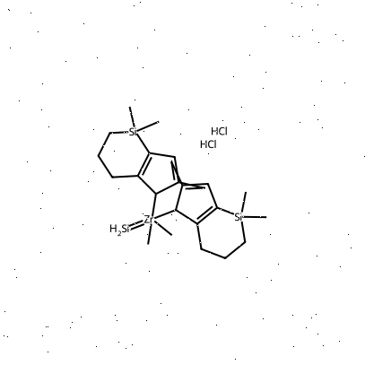 CC1=CC2=C(CCC[Si]2(C)C)[CH]1[Zr]([CH3])([CH3])(=[SiH2])[CH]1C(C)=CC2=C1CCC[Si]2(C)C.Cl.Cl